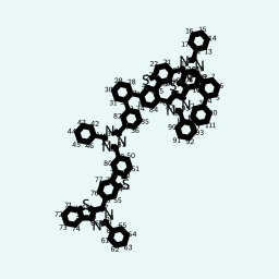 c1ccc(-c2cccc(-c3nc(-c4ccccc4)nc(-c4ccc5sc6c(-c7ccccc7-c7cccc(-c8nc(-c9ccccc9)nc(-c9ccc%10sc%11cc(-c%12nc(-c%13ccccc%13)nc%13c%12sc%12ccccc%12%13)ccc%11c%10c9)n8)c7)ccc(-c7nc(-c8ccccc8)nc8c7sc7ccccc78)c6c5c4)n3)c2)cc1